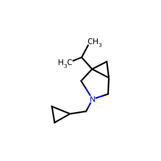 CC(C)C12CC1CN(CC1CC1)C2